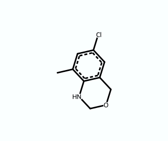 Cc1cc(Cl)cc2c1NCOC2